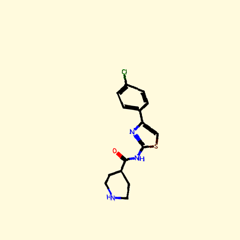 O=C(Nc1nc(-c2ccc(Cl)cc2)cs1)C1CCNCC1